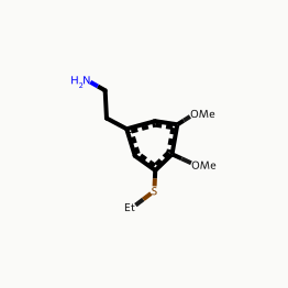 CCSc1cc(CCN)cc(OC)c1OC